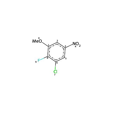 COc1cc([N+](=O)[O-])cc(Cl)c1F